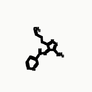 C=CCCC1=NN=C(N)/C1=N/Nc1cccnc1